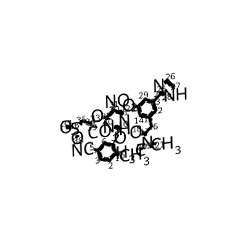 Cc1ccc(C#N)cc1Oc1nc(Oc2cc(CC(=O)N(C)C)cc(-c3ncc[nH]3)c2)c([N+](=O)[O-])c(OC(C=S(=O)=O)C(=O)O)n1